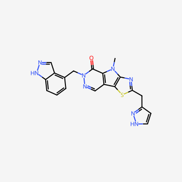 Cn1c2nc(Cc3cc[nH]n3)sc2c2cnn(Cc3cccc4[nH]ncc34)c(=O)c21